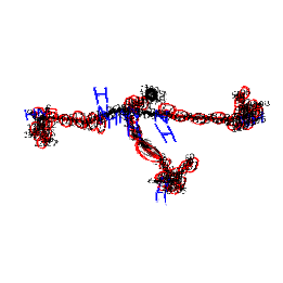 CC(=O)C[C@@H]1[C@@H](NC(C)=O)[C@H](OCCOCCOCCOCC(=O)NCCCC[C@H](NC(=O)COCCOCCOCCO[C@@H]2O[C@H](COC(C)=O)[C@H](OC(C)=O)[C@H](OC(C)=O)[C@H]2NC(C)=O)C(=O)N[C@@H](CCCCNC(=O)COCCOCCOCCO[C@@H]2O[C@H](COC(C)=O)[C@H](OC(C)=O)[C@H](OC(C)=O)[C@H]2NC(C)=O)C(=O)OCc2ccccc2)O[C@H](COC(C)=O)[C@@H]1OC(C)=O